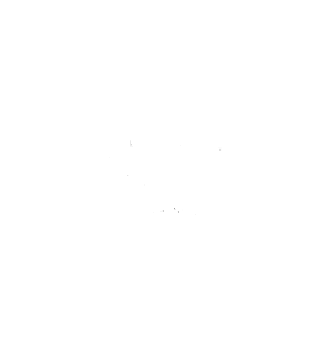 CCC(CC)(Oc1ccc(Br)cc1[N+](=O)[O-])P(=O)(O)O